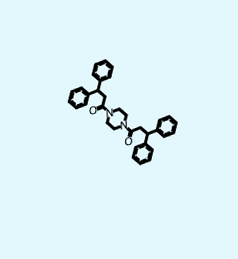 O=C(CC(c1ccccc1)c1ccccc1)N1CCN(C(=O)CC(c2ccccc2)c2ccccc2)CC1